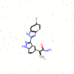 C=C(C(N)=O)c1ccc2[nH]nc(-c3nc4ccc(F)cc4[nH]3)c2c1